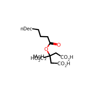 CCCCCCCCCCCCCC(=O)OC(CC(=O)O)(CC(=O)O)C(=O)O.[MgH2]